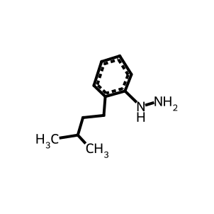 CC(C)CCc1ccccc1NN